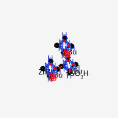 CC(C)(C)C1(S(=O)(=O)O)C=CC=c2c1c1[nH]c2=NC2=NC(=Nc3[nH]c(c4ccccc34)N=C3N=C(N1)c1ccccc13)c1ccccc12.CC(C)(C)C1(S(=O)(=O)[O-])C=CC=c2c1c1[nH]c2=NC2=NC(=Nc3[nH]c(c4ccccc34)N=C3N=C(N1)c1ccccc13)c1ccccc12.CC(C)(C)C1(S(=O)(=O)[O-])C=CC=c2c1c1[nH]c2=NC2=NC(=Nc3[nH]c(c4ccccc34)N=C3N=C(N1)c1ccccc13)c1ccccc12.[Zn+2]